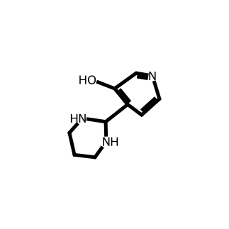 Oc1cnccc1C1NCCCN1